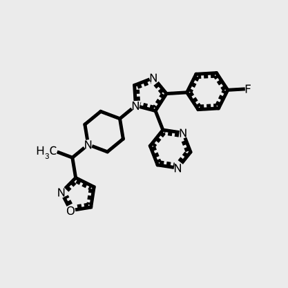 CC(c1ccon1)N1CCC(n2cnc(-c3ccc(F)cc3)c2-c2ccncn2)CC1